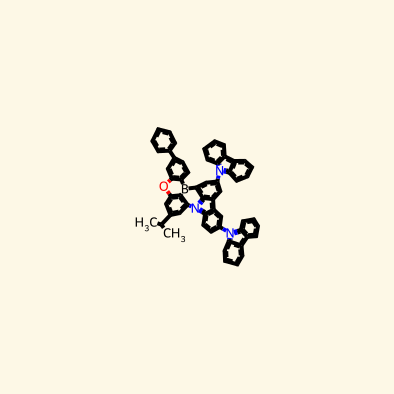 CC(C)c1cc2c3c(c1)-n1c4ccc(-n5c6ccccc6c6ccccc65)cc4c4cc(-n5c6ccccc6c6ccccc65)cc(c41)B3c1ccc(-c3ccccc3)cc1O2